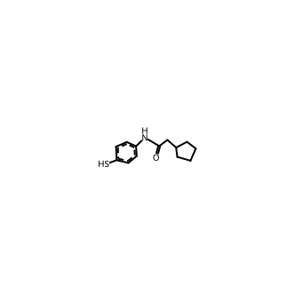 O=C(CC1CCCC1)Nc1ccc(S)cc1